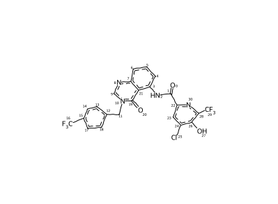 O=C(Nc1cccc2ncn(Cc3ccc(C(F)(F)F)cc3)c(=O)c12)c1cc(Cl)c(O)c(C(F)(F)F)n1